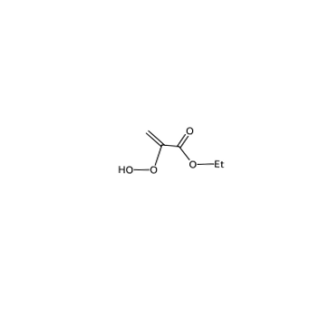 C=C(OO)C(=O)OCC